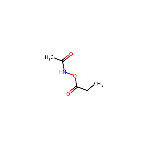 CCC(=O)ONC(C)=O